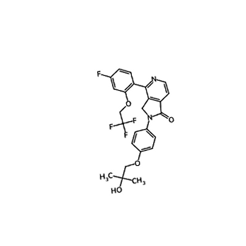 CC(C)(O)COc1ccc(N2Cc3c(ccnc3-c3ccc(F)cc3OCC(F)(F)F)C2=O)cc1